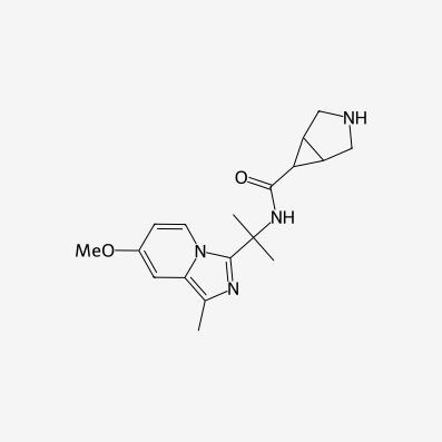 COc1ccn2c(C(C)(C)NC(=O)C3C4CNCC43)nc(C)c2c1